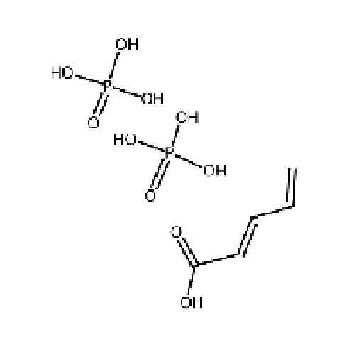 C=CC=CC(=O)O.O=P(O)(O)O.O=P(O)(O)O